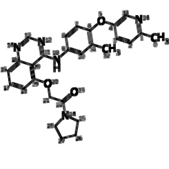 Cc1ccc(Oc2ccc(Nc3ncnc4cccc(OCC(=O)N5CCCC5)c34)cc2C)cn1